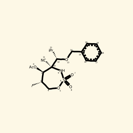 CC(=O)O[C@@H]1[C@@H](C)COS(=O)(=O)N[C@]1(C#N)[C@@H](OCc1ccccc1)C(C)C